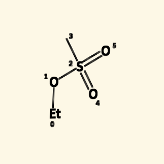 [CH2]COS(C)(=O)=O